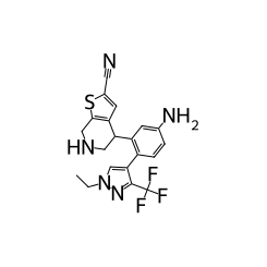 CCn1cc(-c2ccc(N)cc2C2CNCc3sc(C#N)cc32)c(C(F)(F)F)n1